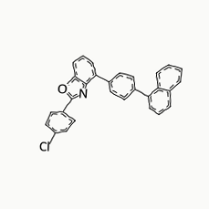 Clc1ccc(-c2nc3c(-c4ccc(-c5cccc6ccccc56)cc4)cccc3o2)cc1